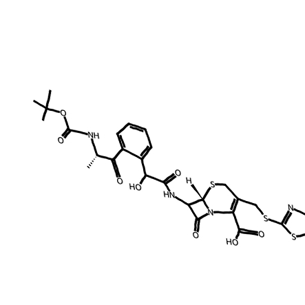 C[C@H](NC(=O)OC(C)(C)C)C(=O)c1ccccc1C(O)C(=O)NC1C(=O)N2C(C(=O)O)=C(CSc3nncs3)CS[C@@H]12